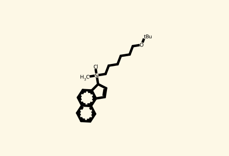 CC(C)(C)OCCCCCC[Si](C)(Cl)C1C=Cc2c1ccc1ccccc21